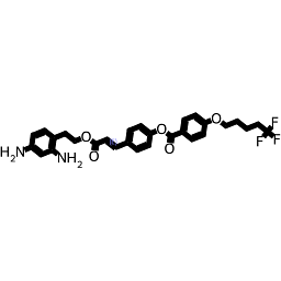 Nc1ccc(CCOC(=O)/C=C/c2ccc(OC(=O)c3ccc(OCCCCC(F)(F)F)cc3)cc2)c(N)c1